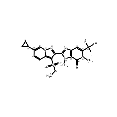 CCS(=O)(=O)c1c(-c2nc3cc(C(F)(F)F)n(C)c(=O)c3n2C)nn2cc(C3CC3)ccc12